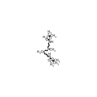 CN(CCCNC(=O)OC(C)(C)C)CCN(C)CCCNC(=O)OC(C)(C)C